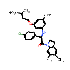 COc1cc(NC(C(=O)N2CCc3cc(C)c(C(F)(F)F)cc32)c2ccc(Cl)cc2)cc(OCCC(C)C(=O)O)c1